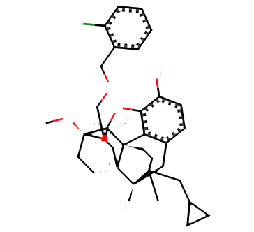 CO[C@]12CC[C@@]3(C[C@@H]1COCc1ccccc1Cl)[C@H]1Cc4ccc(O)c5c4[C@@]3(CCC1(C)CC1CC1)[C@H]2O5